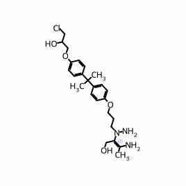 C/C(N)=C(\CO)N(N)CCCOc1ccc(C(C)(C)c2ccc(OCC(O)CCl)cc2)cc1